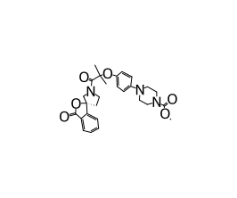 COC(=O)N1CCN(c2ccc(OC(C)(C)C(=O)N3CC[C@@]4(C3)OC(=O)c3ccccc34)cc2)CC1